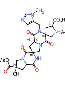 COC(=O)[C@]1(C)CC2C(=O)N[C@]3(C[C@H]4C(=O)N(Cc5cncn5C)[C@]5(C[C@@H](C(=O)O)N(C(C)=O)C5)C(=O)N4C3)C(=O)N2C1